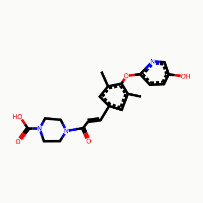 Cc1cc(/C=C/C(=O)N2CCN(C(=O)O)CC2)cc(C)c1Oc1ccc(O)cn1